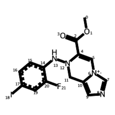 COC(=O)C1=C[N+]2C=NC=C2CN1Nc1ccc(I)cc1F